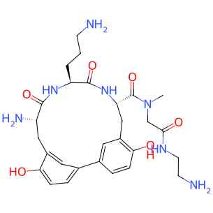 CN(CC(=O)NCCN)C(=O)[C@@H]1Cc2cc(ccc2O)-c2ccc(O)c(c2)C[C@H](N)C(=O)N[C@@H](CCCN)C(=O)N1